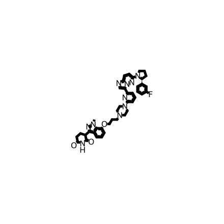 Cn1nc(C2CCC(=O)NC2=O)c2cccc(OCCCN3CCN(c4cccc(-c5cnc6ccc(N7CCC[C@@H]7c7cccc(F)c7)nn56)n4)CC3)c21